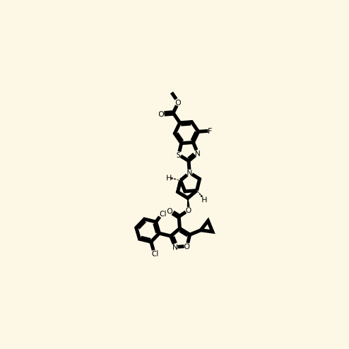 COC(=O)c1cc(F)c2nc(N3C[C@@H]4C[C@H]3C[C@@H]4OC(=O)c3c(-c4c(Cl)cccc4Cl)noc3C3CC3)sc2c1